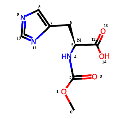 COC(=O)N[C@@H](CC1=CN=C=N1)C(=O)O